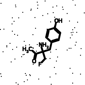 CC(=O)C(N)(CF)Cc1ccc(O)cc1